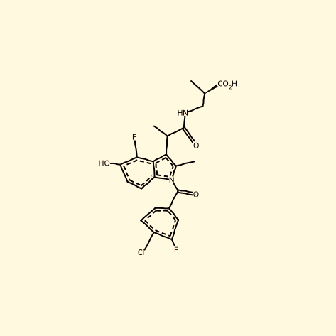 Cc1c(C(C)C(=O)NC[C@@H](C)C(=O)O)c2c(F)c(O)ccc2n1C(=O)c1ccc(Cl)c(F)c1